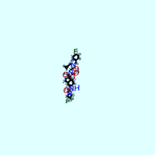 C[C@@H](C1CC1)N(Cc1ccc(F)cc1)C(=O)CN1C(=O)O[C@@]2(CCc3cc(NC(=O)N4CC(F)(F)C4)ccc32)C1=O